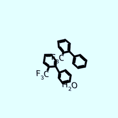 FC(F)(F)c1ccccc1-c1ccccc1.FC(F)(F)c1ccccc1-c1ccccc1.O